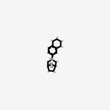 c1cc2c(cc1N1CC3CCC(C1)N3)CCCC2